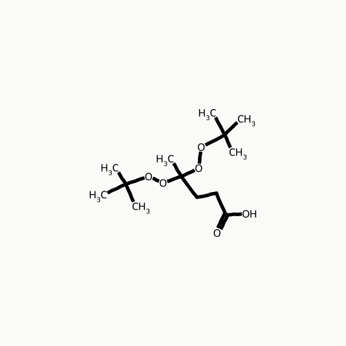 CC(C)(C)OOC(C)(CCC(=O)O)OOC(C)(C)C